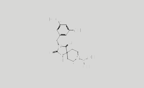 CB(O)N1CCC2(CC1)NC(=O)N(Cc1cc(C)cc(C)c1)C2=O